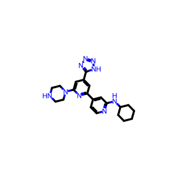 c1cc(-c2cc(-c3nnn[nH]3)cc(N3CCNCC3)n2)cc(NC2CCCCC2)n1